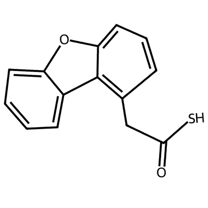 O=C(S)Cc1cccc2oc3ccccc3c12